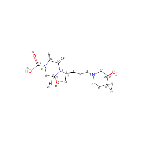 C[C@H]1C(=O)N2[C@@H](CCCN3CCC4(CC4)[C@H](O)C3)CO[C@H]2CN1C(=O)O